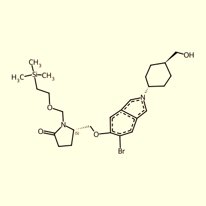 C[Si](C)(C)CCOCN1C(=O)CC[C@H]1COc1cc2cn([C@H]3CC[C@H](CO)CC3)cc2cc1Br